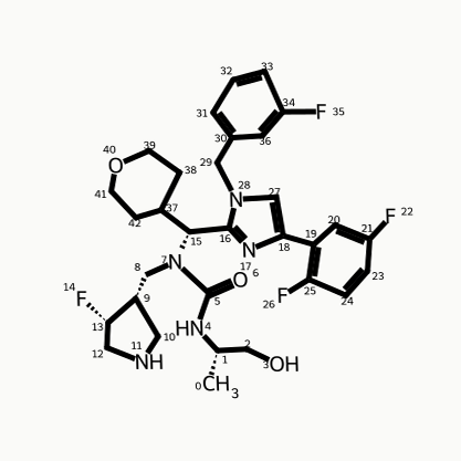 C[C@@H](CO)NC(=O)N(C[C@@H]1CNC[C@@H]1F)[C@@H](c1nc(-c2cc(F)ccc2F)cn1Cc1cccc(F)c1)C1CCOCC1